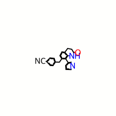 N#Cc1ccc(Cc2ccc3c(c2-c2cccnc2)NC(=O)CC3)cc1